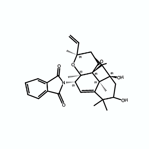 C=C[C@@]1(C)CC(=O)[C@@]23C(C)(C)[C@]4(O)CC(O)C(C)(C)C(=C[C@H](N5C(=O)c6ccccc6C5=O)[C@@]2(C)O1)[C@@]34C